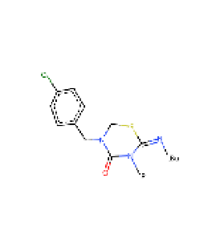 CC(C)N1C(=O)N(Cc2ccc(Cl)cc2)CSC1=NC(C)(C)C